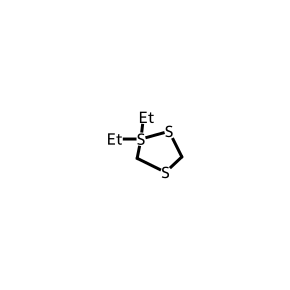 CCS1(CC)CSCS1